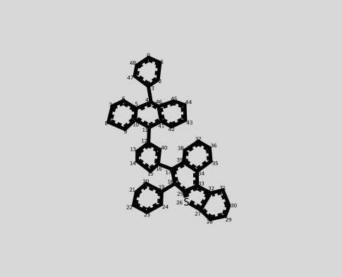 c1ccc(-c2c3ccccc3c(-c3cccc(-c4c(-c5ccccc5)c5sc6ccccc6c5c5ccccc45)c3)c3ccccc23)cc1